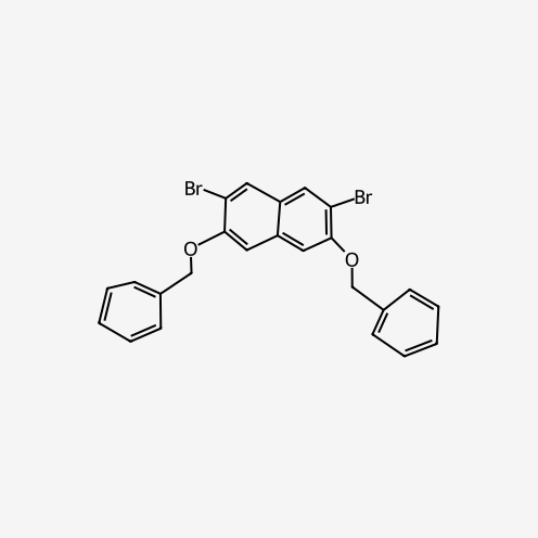 Brc1cc2cc(Br)c(OCc3ccccc3)cc2cc1OCc1ccccc1